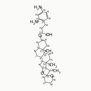 CC1C2C(CC3C4CCC5CC(OC(O)CCc6ccc(N)cc6N)CCC5(C)C4CCC32C)OC12CCCCO2